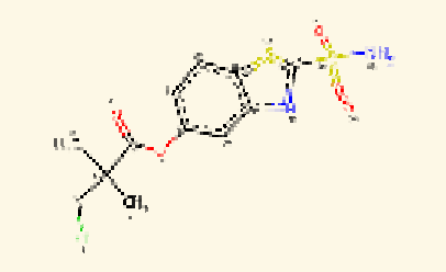 CC(C)(CCl)C(=O)Oc1ccc2sc(S(N)(=O)=O)nc2c1